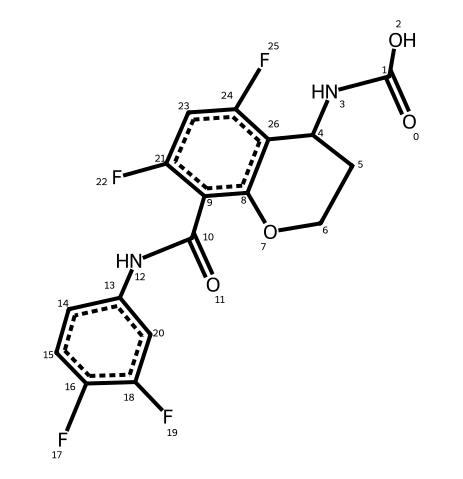 O=C(O)NC1CCOc2c(C(=O)Nc3ccc(F)c(F)c3)c(F)cc(F)c21